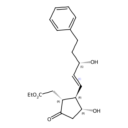 CCOC(=O)C[C@H]1C(=O)C[C@@H](O)[C@@H]1/C=C/[C@@H](O)CCc1ccccc1